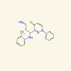 N=CCC(Nc1ccccc1C(F)(F)F)c1nn(-c2ccccc2)ccc1=O